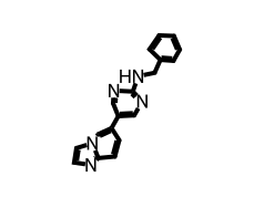 c1ccc(CNc2ncc(-c3ccc4nccn4c3)cn2)cc1